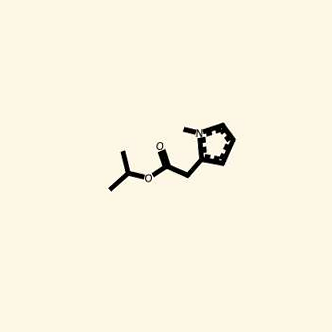 CC(C)OC(=O)Cc1cccn1C